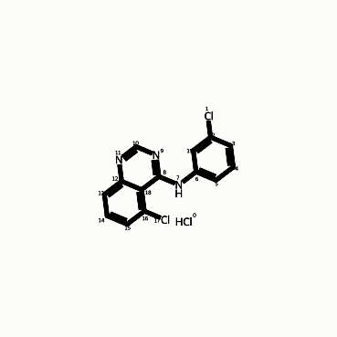 Cl.Clc1cccc(Nc2ncnc3cccc(Cl)c23)c1